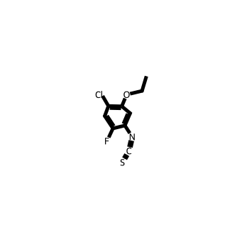 CCOc1cc(N=C=S)c(F)cc1Cl